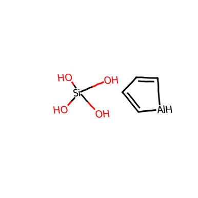 C1=[CH][AlH][CH]=C1.O[Si](O)(O)O